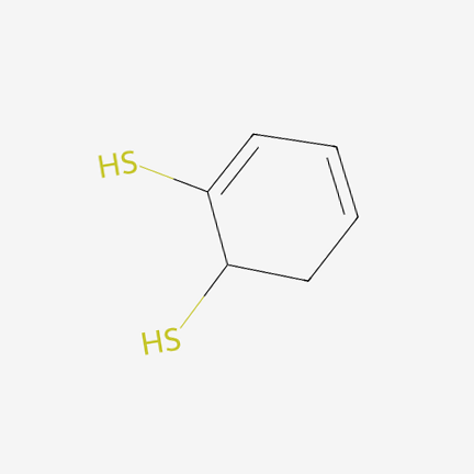 SC1=CC=CCC1S